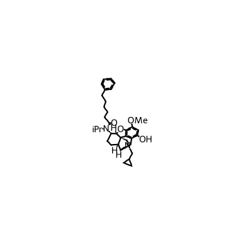 COc1cc(O)c2c3c1O[C@H]1[C@H](N(C(=O)CCCCCc4ccccc4)C(C)C)CC[C@H]4[C@@H](C2)N(CC2CC2)CC[C@@]341